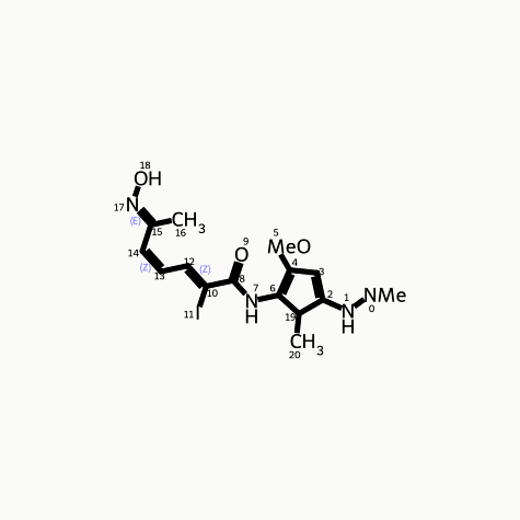 CNNC1=CC(OC)=C(NC(=O)/C(I)=C/C=C\C(C)=N\O)C1C